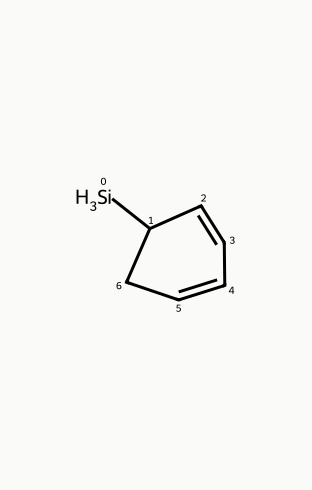 [SiH3]C1C=CC=CC1